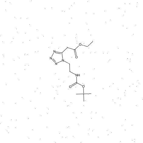 CCOC(=O)Cc1nnnn1CCNC(=O)OC(C)(C)C